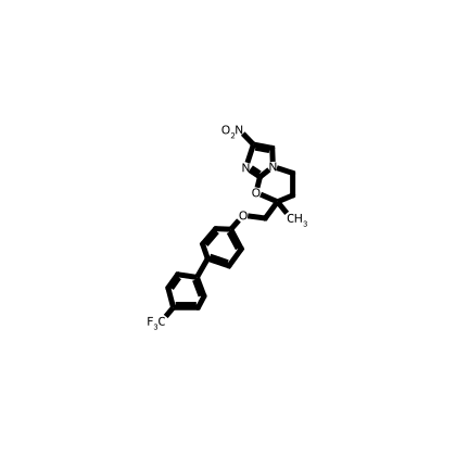 CC1(COc2ccc(-c3ccc(C(F)(F)F)cc3)cc2)CCn2cc([N+](=O)[O-])nc2O1